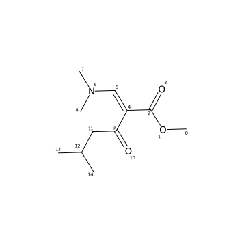 COC(=O)C(=CN(C)C)C(=O)CC(C)C